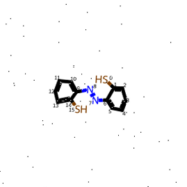 Sc1ccccc1N=Nc1ccccc1S